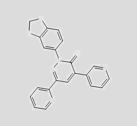 O=c1c(-c2cccnc2)cc(-c2ccccn2)nn1-c1ccc2c(c1)OCO2